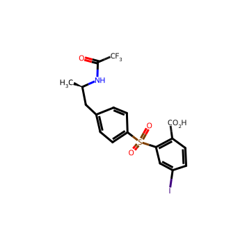 C[C@H](Cc1ccc(S(=O)(=O)c2cc(I)ccc2C(=O)O)cc1)NC(=O)C(F)(F)F